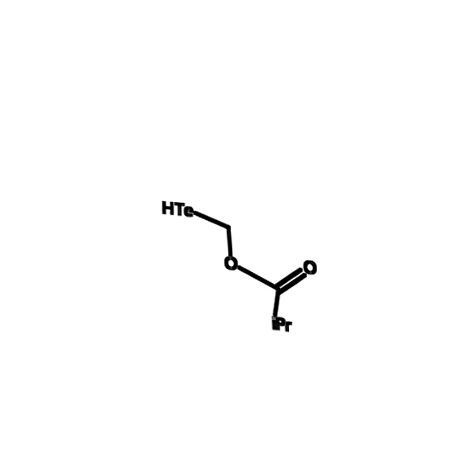 CC(C)C(=O)OC[TeH]